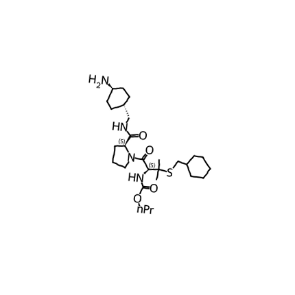 CCCOC(=O)N[C@@H](C(=O)N1CCC[C@H]1C(=O)NC[C@H]1CC[C@H](N)CC1)C(C)(C)SCC1CCCCC1